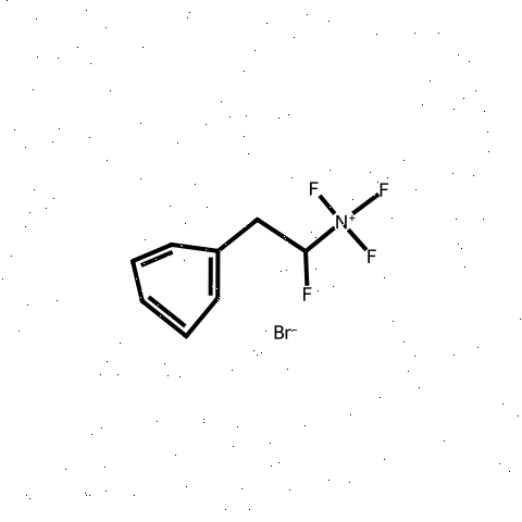 FC(Cc1ccccc1)[N+](F)(F)F.[Br-]